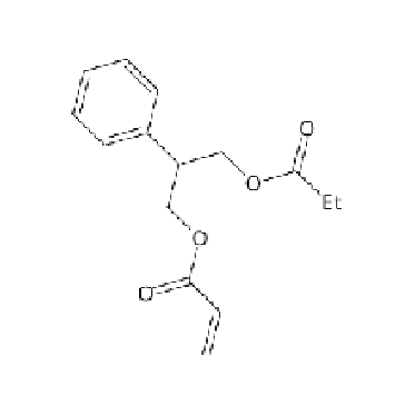 C=CC(=O)OCC(COC(=O)CC)c1ccccc1